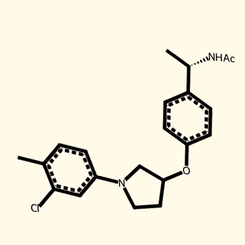 CC(=O)N[C@@H](C)c1ccc(OC2CCN(c3ccc(C)c(Cl)c3)C2)cc1